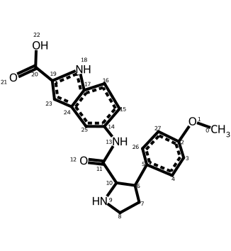 COc1ccc(C2CCNC2C(=O)Nc2ccc3[nH]c(C(=O)O)cc3c2)cc1